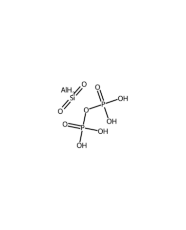 O=P(O)(O)OP(=O)(O)O.O=[Si]=O.[AlH3]